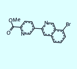 COC(=O)c1ccc(-c2cc3cccc(Br)c3cn2)cn1